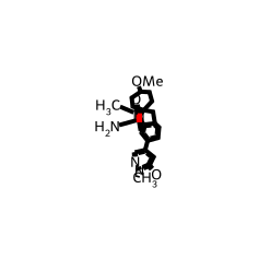 COC1CCC2(CC1)Cc1ccc(-c3cnn(C)c(=O)c3)cc1C21N=C(N)N(C)C1=O